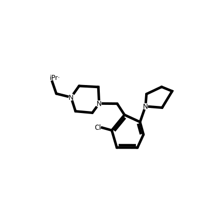 C[C](C)CN1CCN(Cc2c(Cl)cccc2N2CCCC2)CC1